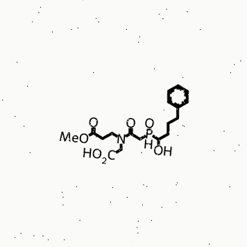 COC(=O)CCN(CC(=O)O)C(=O)C[PH](=O)C(O)CCCc1ccccc1